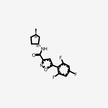 C[C@@H]1CC[C@@H](NC(=O)c2cc(-c3c(F)cc(F)cc3F)on2)C1